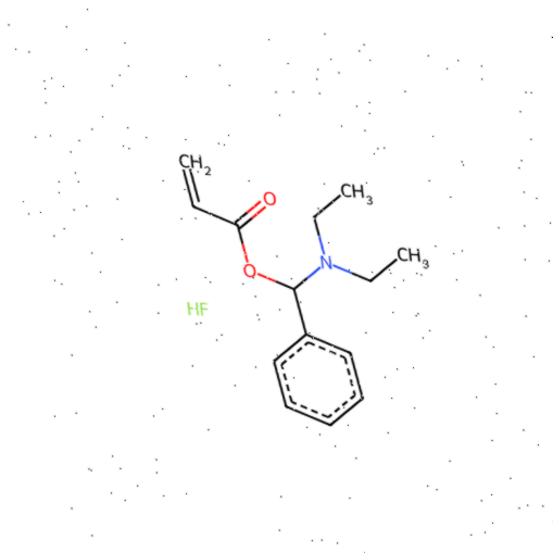 C=CC(=O)OC(c1ccccc1)N(CC)CC.F